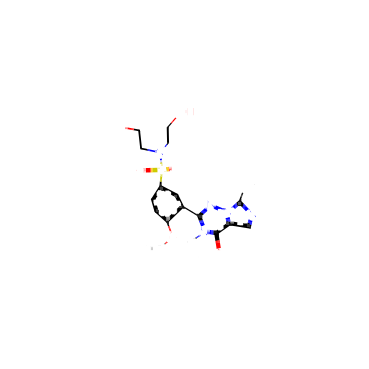 CCCOc1ccc(S(=O)(=O)N(CCO)CCO)cc1-c1nn2c(CCC)ncc2c(=O)n1C